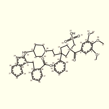 COc1cc(C(=O)[N+]2(CS(=O)(=O)O)CCC(CCN3CCC(Nc4nc5ccccc5n4Cc4ccccc4C(=O)O)CC3)(c3ccccc3)C2)cc(OC)c1OC